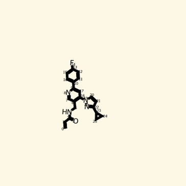 C=CC(=O)NCc1cnc(-c2ccc(F)cc2)cc1-n1ccc(C2CC2)n1